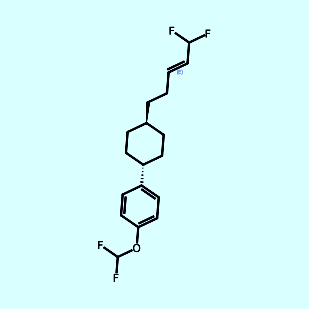 FC(F)/C=C/CC[C@H]1CC[C@H](c2ccc(OC(F)F)cc2)CC1